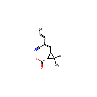 C/C=C/C(C#N)=C/C1[C@@H](C(=O)O)C1(C)C